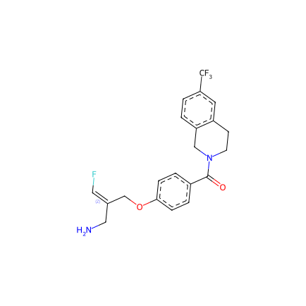 NC/C(=C/F)COc1ccc(C(=O)N2CCc3cc(C(F)(F)F)ccc3C2)cc1